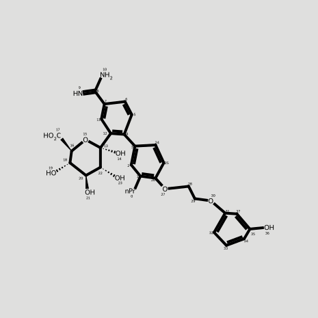 CCCc1cc(-c2ccc(C(=N)N)cc2[C@]2(O)O[C@H](C(=O)O)[C@@H](O)[C@H](O)[C@H]2O)ccc1OCCOc1cccc(O)c1